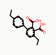 CCc1ccc(-c2ccc(CC)c(C(=O)O)c2C(=O)O)cc1